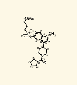 COCCCS(=O)(=O)Nc1ccc2c(c1)c(C1CCN(C(=O)C3CCCC3)CC1)cn2C